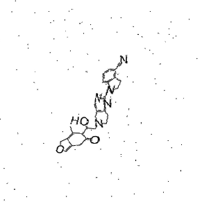 CC1=C2COC=C2CC(=O)C1C(O)CN1CCc2nc(N3CCc4c(C#N)cccc43)ncc2C1